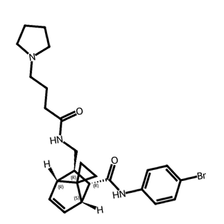 O=C(CCCN1CCCC1)NC[C@H]1[C@H](C(=O)Nc2ccc(Br)cc2)[C@@H]2C=C[C@H]1C21CC1